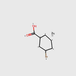 O=C(O)C1CCCC(Br)C1.[Zn]